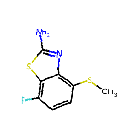 CSc1ccc(F)c2sc(N)nc12